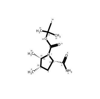 C[C@H]1C[C@@H](C(N)=O)N(C(=O)OC(C)(C)I)[C@H]1C